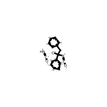 N=C=O.O=C=NC(Cl)(Cc1ccccc1)c1ccccc1